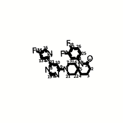 O=C1CCCC2(CCN(c3cc(-n4cc(F)cn4)ncn3)CC2)N1c1ccc(F)c(F)c1